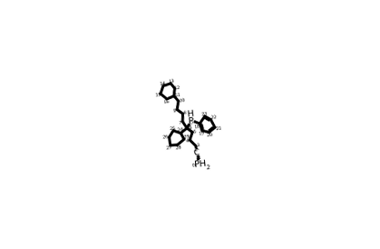 PCCCCCC(CCCC[C]1CCCCC1)(Pc1ccccc1)C1CCCCC1